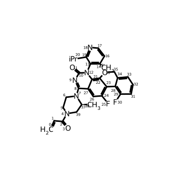 C=CC(=O)N1CCN(c2nc(=O)n(-c3c(C)ccnc3C(C)C)c3c4c(c(F)cc23)-c2c(F)cccc2CO4)[C@@H](C)C1